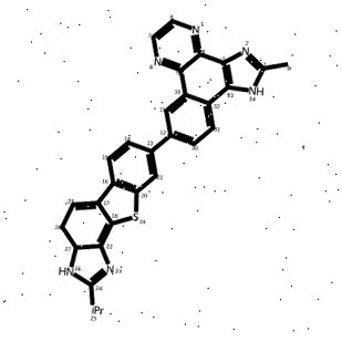 Cc1nc2c3nccnc3c3cc(-c4ccc5c6c(sc5c4)=C4N=C(C(C)C)NC4CC=6)ccc3c2[nH]1